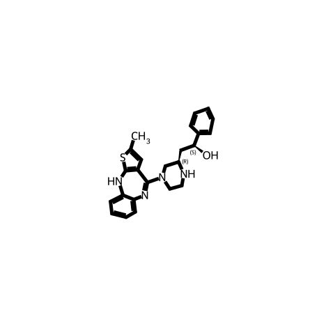 Cc1cc2c(s1)Nc1ccccc1N=C2N1CCN[C@H](C[C@H](O)c2ccccc2)C1